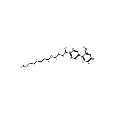 CCCCCCCCCCCCCCCCOCCCC(C)c1ccc(-c2ccccc2O)cc1